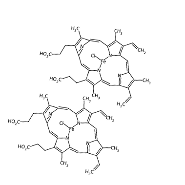 C=CC1=C(C)/C2=C/c3c(C=C)c(C)c4[n]3[Fe]([Cl])[n]3/c(c(C)c(CCC(=O)O)/c3=C/C3=NC(=C\4)/C(C)=C3CCC(=O)O)=C\C1=N2.C=CC1=C(C)/C2=C/c3c(C=C)c(C)c4[n]3[Fe]([Cl])[n]3/c(c(C)c(CCC(=O)O)/c3=C/C3=NC(=C\4)/C(C)=C3CCC(=O)O)=C\C1=N2